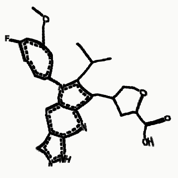 COc1cc(-n2c(C(C)C)c(C3COC(C(=O)O)C3)c3nc4[nH]ncc4cc32)ccc1F